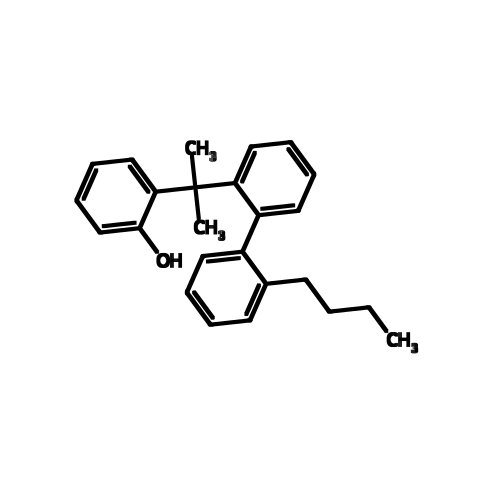 CCCCc1ccccc1-c1ccccc1C(C)(C)c1ccccc1O